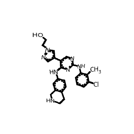 Cc1c(Cl)cccc1Nc1ncc(-c2cnn(CCO)c2)c(Nc2ccc3c(c2)CNCC3)n1